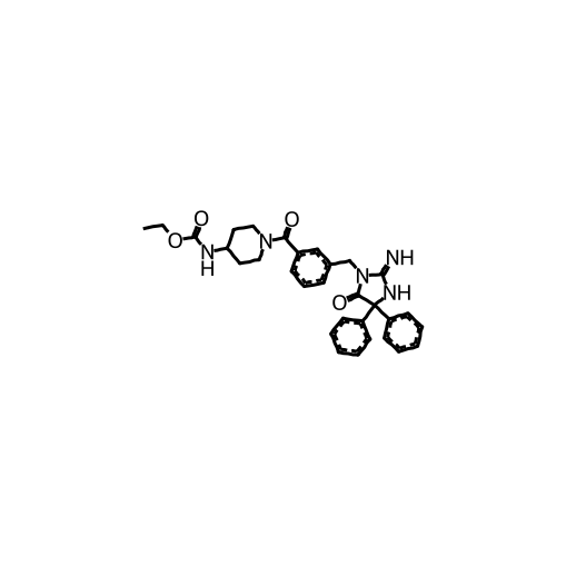 CCOC(=O)NC1CCN(C(=O)c2cccc(CN3C(=N)NC(c4ccccc4)(c4ccccc4)C3=O)c2)CC1